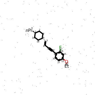 CCC[C@H]1CC[C@H](C=CC#Cc2ccc(OCC)cc2F)CC1